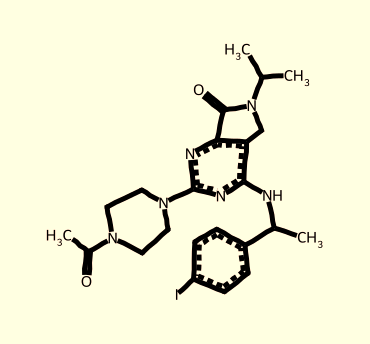 CC(=O)N1CCN(c2nc(NC(C)c3ccc(I)cc3)c3c(n2)C(=O)N(C(C)C)C3)CC1